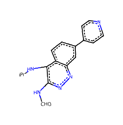 CC(C)Nc1c(NC=O)nnc2cc(-c3ccncc3)ccc12